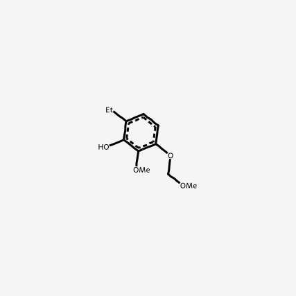 CCc1ccc(OCOC)c(OC)c1O